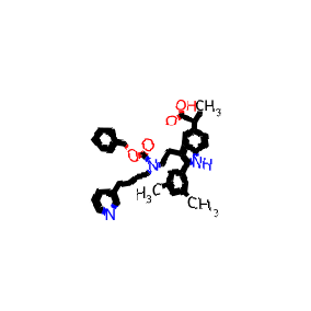 CCC(C(=O)O)c1ccc2[nH]c(-c3cc(C)cc(C)c3)c(CCN(CCCCc3cccnc3)C(=O)OCc3ccccc3)c2c1